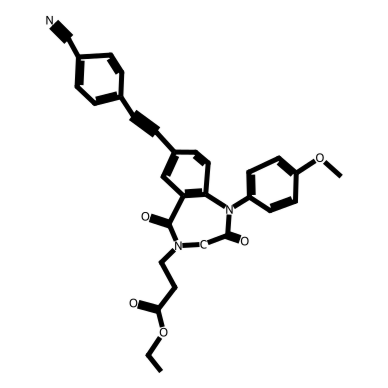 CCOC(=O)CCN1CC(=O)N(c2ccc(OC)cc2)c2ccc(C#Cc3ccc(C#N)cc3)cc2C1=O